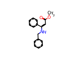 COC(=O)C=C(NCc1ccccc1)c1ccccc1